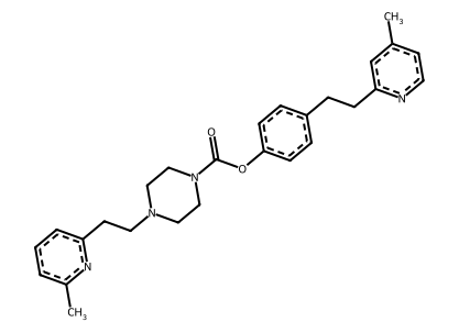 Cc1ccnc(CCc2ccc(OC(=O)N3CCN(CCc4cccc(C)n4)CC3)cc2)c1